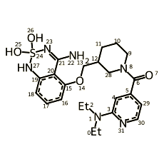 CCN(CC)c1cc(C(=O)N2CCCC(COc3cccc4c3C(N)=NS(O)(O)N4)C2)ccn1